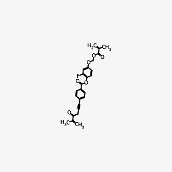 C=C(C)C(=O)CC#Cc1ccc(C(=O)Oc2ccc(OCOC(=O)C(=C)C)cc2F)cc1